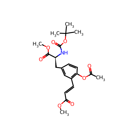 COC(=O)C=Cc1cc(C[C@H](NC(=O)OC(C)(C)C)C(=O)OC)ccc1OC(C)=O